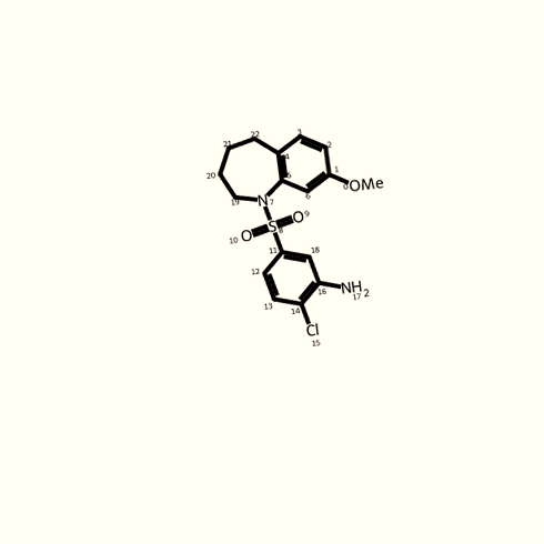 COc1ccc2c(c1)N(S(=O)(=O)c1ccc(Cl)c(N)c1)CCCC2